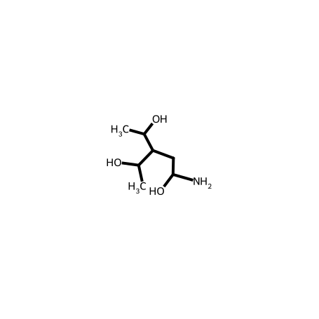 CC(O)C(CC(N)O)C(C)O